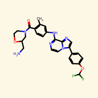 Cc1cc(Nc2nccn3c(-c4ccc(OC(F)F)cc4)cnc23)ccc1C(=O)N1CCOC(CN)C1